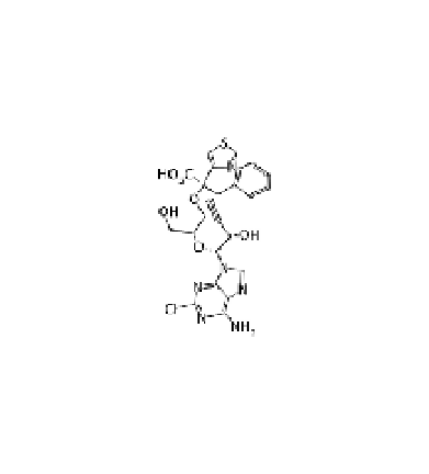 C#C[C@@H](O)[C@@H](O[C@@H](CO)CO[C@@](Cc1ccccc1)(C(=O)O)c1cscn1)n1cnc2c(N)nc(Cl)nc21